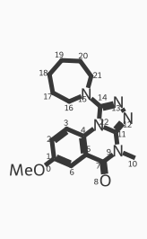 COc1ccc2c(c1)c(=O)n(C)c1nnc(N3CCCCCC3)n21